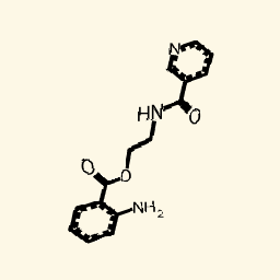 Nc1ccccc1C(=O)OCCNC(=O)c1cccnc1